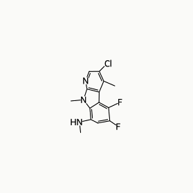 CNc1cc(F)c(F)c2c3c(C)c(Cl)cnc3n(C)c12